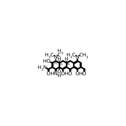 CN(C)c1cc(C=O)c(O)c2c1C[C@H]1C[C@H]3[C@H](N(C)C)C(O)=C(C(N)=O)C(=N)[C@@]3(O)C(O)=C1C2=O